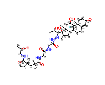 CCC(=NNC(=O)CNC(=O)CNC(=O)C(C)(C)CC(C)(CC)C(=O)NCC(C)O)C1(O)C(C)CC2C3CCC4=CC(=O)C=CC4(C)C3(F)C(O)CC21C